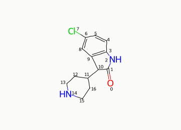 O=C1Nc2ccc(Cl)cc2C1C1CCNCC1